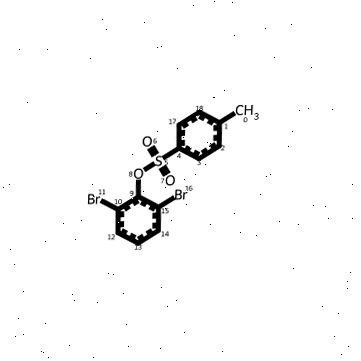 Cc1ccc(S(=O)(=O)Oc2c(Br)cccc2Br)cc1